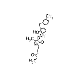 C=CC(=O)CCCN1N=C(C)/C(=N/Nc2cccc(/C=C\c3cccc(C)c3)c2O)C1=O